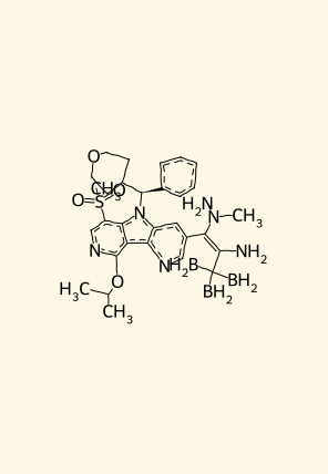 BC(B)(B)/C(N)=C(\c1cnc2c3c(OC(C)C)ncc(S(C)(=O)=O)c3n([C@H](c3ccccc3)C3CCOCC3)c2c1)N(C)N